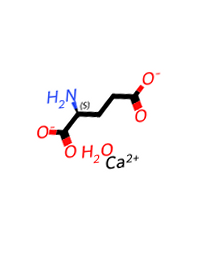 N[C@@H](CCC(=O)[O-])C(=O)[O-].O.[Ca+2]